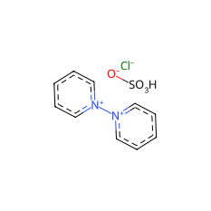 O=S(=O)([O-])O.[Cl-].c1cc[n+](-[n+]2ccccc2)cc1